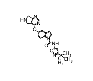 CC(C)(C)c1cc(NC(=O)n2ccc3cc(Oc4ncnc5c4CNC5)ccc32)on1